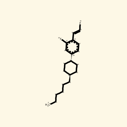 CCCCCC[C@H]1CC[C@H](c2ccc(C=CF)c(F)c2)CC1